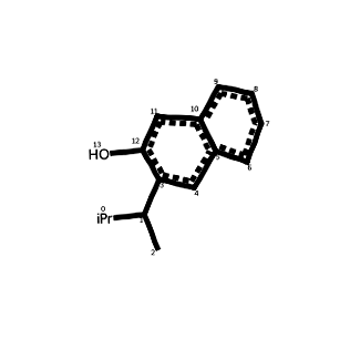 CC(C)C(C)c1cc2ccccc2cc1O